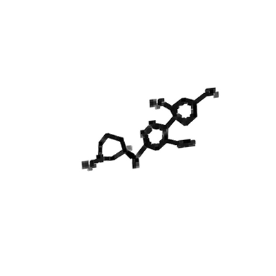 COc1cc(N[C@@H]2CCCN(C)C2)nnc1-c1ccc(C(F)(F)F)cc1C